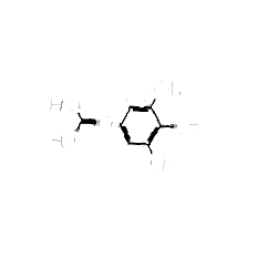 Cc1cccc(O)c1C.O=C(O)O